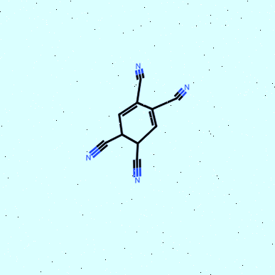 N#CC1=CC(C#N)C(C#N)C=C1C#N